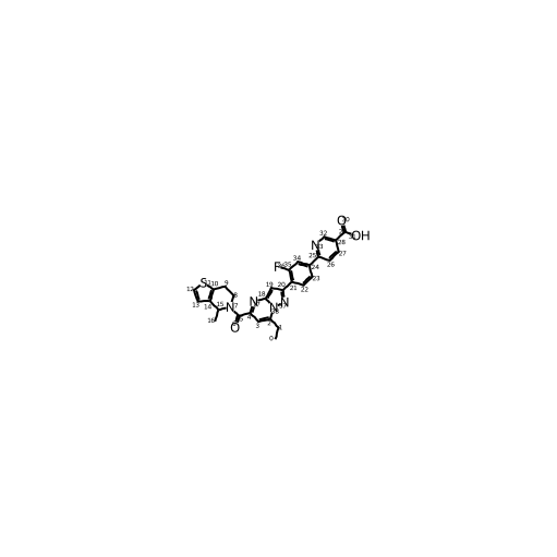 CCc1cc(C(=O)N2CCc3sccc3C2C)nc2cc(-c3ccc(-c4ccc(C(=O)O)cn4)cc3F)nn12